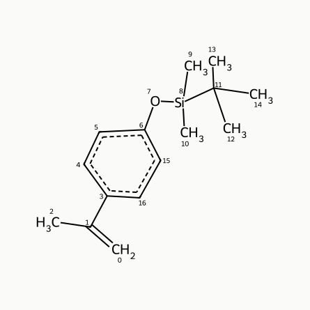 C=C(C)c1ccc(O[Si](C)(C)C(C)(C)C)cc1